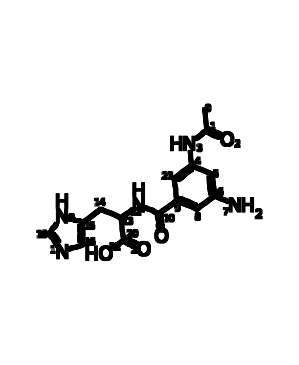 CC(=O)Nc1cc(N)cc(C(=O)NC(Cc2cnc[nH]2)C(=O)O)c1